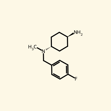 CN(Cc1ccc(F)cc1)[C@H]1CC[C@H](N)CC1